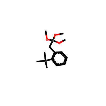 CO[Si](Cc1ccccc1[Si](C)(C)C)(OC)OC